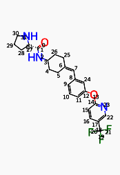 O=C(NC1CCC(=Cc2cccc(Oc3ccc(C(F)(F)F)cn3)c2)CC1)[C@@H]1CCCN1